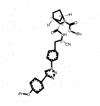 CC(C)Oc1ccc(-c2cn(-c3ccc(C[C@@H](C#N)NC(=O)[C@@H]4[C@H]5CC[C@H](C5)N4C(=O)OC(C)(C)C)cc3)nn2)cc1